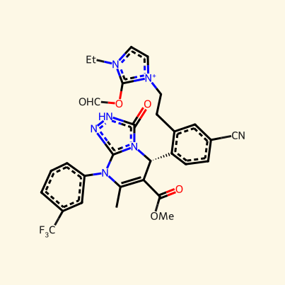 CCn1cc[n+](CCc2cc(C#N)ccc2[C@@H]2C(C(=O)OC)=C(C)N(c3cccc(C(F)(F)F)c3)c3n[nH]c(=O)n32)c1OC=O